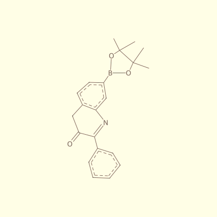 CC1(C)OB(c2ccc3c(c2)N=C(c2ccccc2)C(=O)C3)OC1(C)C